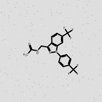 CC(=O)NCc1nn(-c2ccc(C(F)(F)F)cc2)c2cc(C(F)(F)F)ccc12